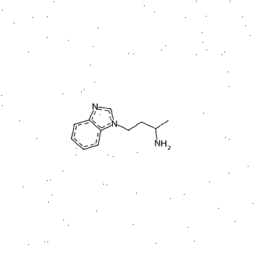 CC(N)CCn1cnc2ccccc21